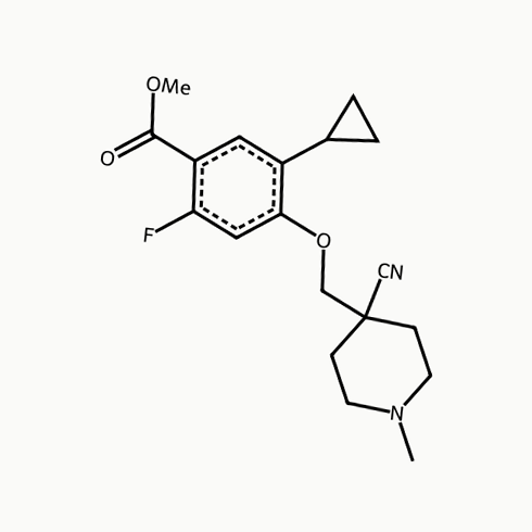 COC(=O)c1cc(C2CC2)c(OCC2(C#N)CCN(C)CC2)cc1F